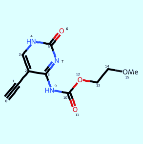 C#Cc1c[nH]c(=O)nc1NC(=O)OCCOC